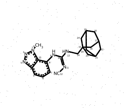 Cn1nnc2cccc(NC(=NC#N)NCC34CC5CC(CC(C5)C3)C4)c21